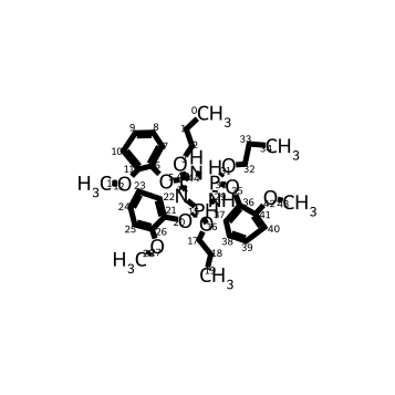 CCCOP1(Oc2ccccc2OC)=N[PH](OCCC)(Oc2ccccc2OC)N[PH](OCCC)(Oc2ccccc2OC)N1